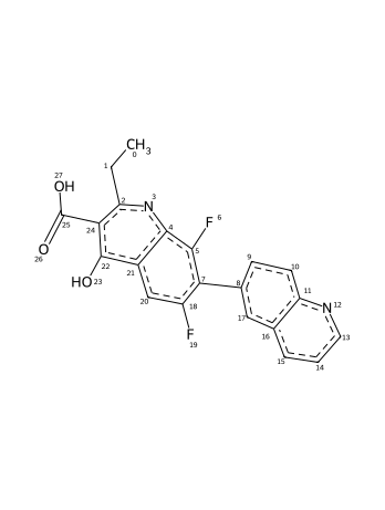 CCc1nc2c(F)c(-c3ccc4ncccc4c3)c(F)cc2c(O)c1C(=O)O